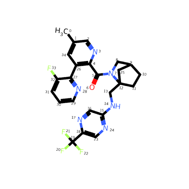 Cc1cnc(C(=O)N2CC3CCC2(CNc2cnc(C(F)(F)F)cn2)C3)c(-c2ncccc2F)c1